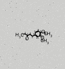 CCC(=O)CCc1ccc(OC)c(OC)c1